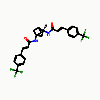 O=C(/C=C/c1ccc(C(F)(F)F)cc1)N[C@H]1CC2(NC(=O)/C=C/c3ccc(C(F)(F)F)cc3)CC1C2